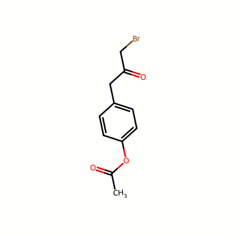 CC(=O)Oc1ccc(CC(=O)CBr)cc1